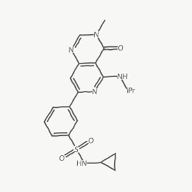 CC(C)Nc1nc(-c2cccc(S(=O)(=O)NC3CC3)c2)cc2ncn(C)c(=O)c12